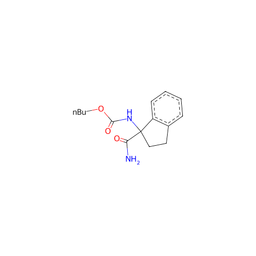 CCCCOC(=O)NC1(C(N)=O)CCc2ccccc21